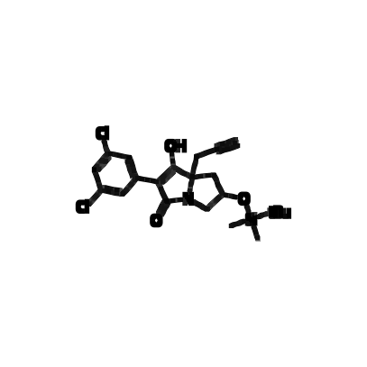 C#CCC12CC(O[Si](C)(C)C(C)(C)C)CN1C(=O)C(c1cc(Cl)cc(Cl)c1)=C2O